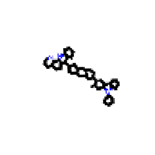 CC1C=c2c(c3ccccc3n2-c2ccccc2)=CC1c1ccc2cc3cc(-c4c5ccccc5nc5c4ccc4cccnc45)ccc3cc2c1